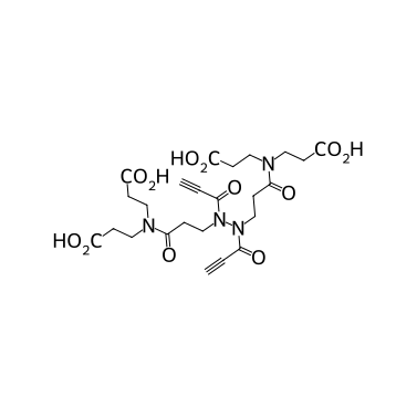 C#CC(=O)N(CCC(=O)N(CCC(=O)O)CCC(=O)O)N(CCC(=O)N(CCC(=O)O)CCC(=O)O)C(=O)C#C